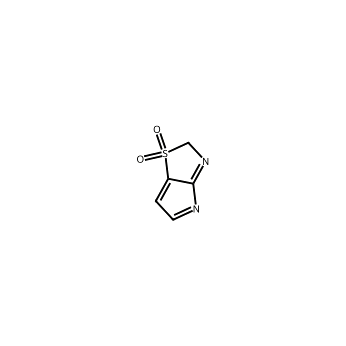 O=S1(=O)CN=C2N=CC=C21